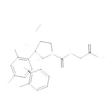 CNC(=O)CNC(=O)N1C[C@@H](CC(C)(C)C)[C@](N)(c2ccc(Cl)cc2F)[C@H]1c1cccc(Cl)c1F